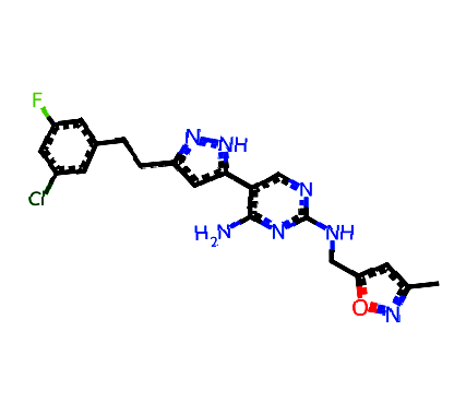 Cc1cc(CNc2ncc(-c3cc(CCc4cc(F)cc(Cl)c4)n[nH]3)c(N)n2)on1